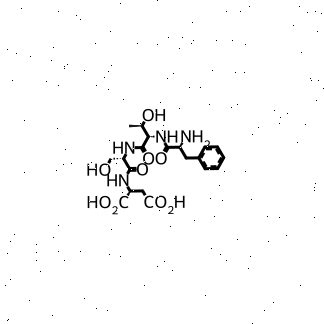 C[C@@H](O)[C@H](NC(=O)[C@@H](N)Cc1ccccc1)C(=O)N[C@@H](CO)C(=O)N[C@@H](CC(=O)O)C(=O)O